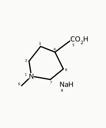 CN1CCC(C(=O)O)CC1.[NaH]